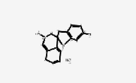 CCCN1C=C2CC=CC=C2C2(Cc3ccc(Cl)cc3O2)C1.Cl